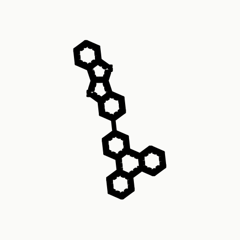 c1ccc2c(c1)sc1c3ccc(-c4ccc5c6ccccc6c6ccccc6c5c4)cc3sc21